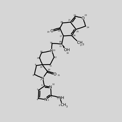 CNc1nccc(N2CCC3(CCN(C[C@H](O)C4C(=O)CC5=COCC5=C4C)CC3)C2=O)n1